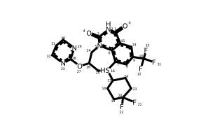 O=c1[nH]c(=O)n2c3c(cc(C(F)(F)F)cc13)[SH](C1CCC(F)(F)CC1)CC(Oc1ncccn1)C2